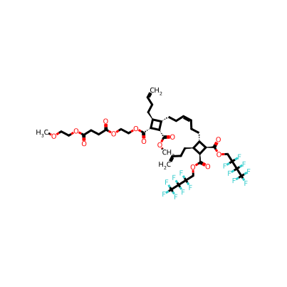 C=CCC[C@H]1[C@H](CC/C=C\CC[C@H]2[C@H](CCC=C)[C@H](C(=O)OCC(F)(F)C(F)(F)C(F)(F)F)[C@@H]2C(=O)OCC(F)(F)C(F)(F)C(F)(F)F)[C@H](C(=O)OC)[C@@H]1C(=O)OCCOC(=O)CCC(=O)OCCOC